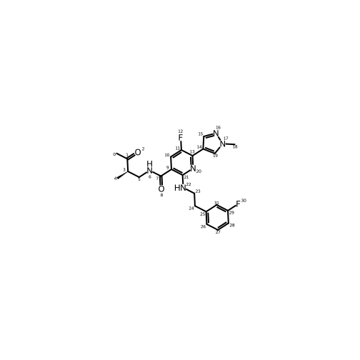 CC(=O)[C@H](C)CNC(=O)c1cc(F)c(-c2cnn(C)c2)nc1NCCc1cccc(F)c1